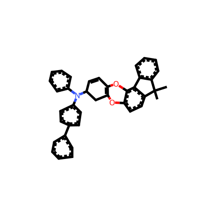 CC1(C)c2ccccc2-c2c1ccc1c2OC2=C(CC(N(c3ccccc3)c3ccc(-c4ccccc4)cc3)C=C2)O1